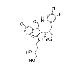 CC(C)(C)C[C@@H]1Cc2cc(F)c(Cl)cc2NC(=O)C(c2cccc(Cl)c2)[C@H](C(=O)NCC[C@@H](O)CO)N1